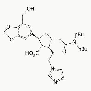 CCCCN(CCCC)C(=O)CN1C[C@H](c2cc(CO)c3c(c2)OCO3)[C@@H](C(=O)O)[C@@H]1CCn1ccnc1